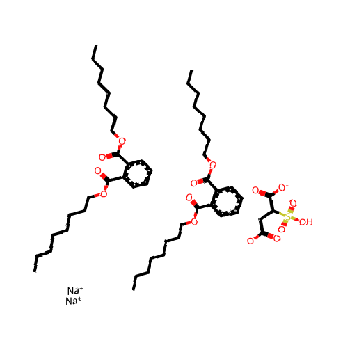 CCCCCCCCOC(=O)c1ccccc1C(=O)OCCCCCCCC.CCCCCCCCOC(=O)c1ccccc1C(=O)OCCCCCCCC.O=C([O-])CC(C(=O)[O-])S(=O)(=O)O.[Na+].[Na+]